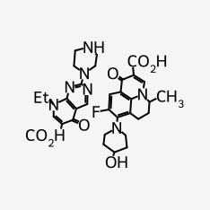 CC1CCc2c(N3CCC(O)CC3)c(F)cc3c(=O)c(C(=O)O)cn1c23.CCn1cc(C(=O)O)c(=O)c2cnc(N3CCNCC3)nc21